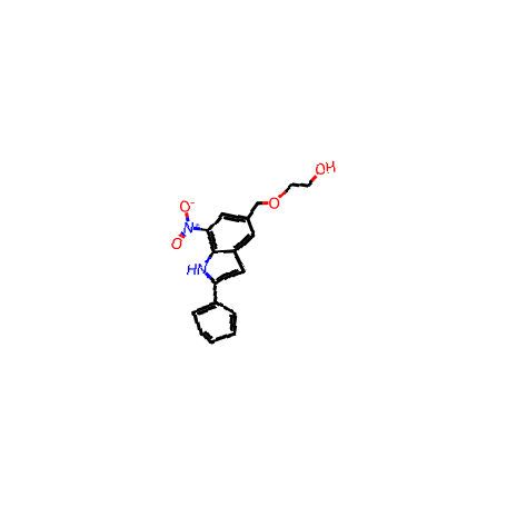 O=[N+]([O-])c1cc(COCCO)cc2cc(-c3ccccc3)[nH]c12